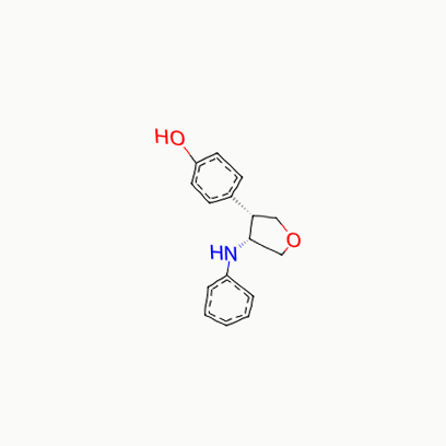 Oc1ccc([C@@H]2COC[C@@H]2Nc2ccccc2)cc1